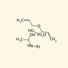 C=CCOCC=C.CCNC(C)O.O=S(=O)(O)O